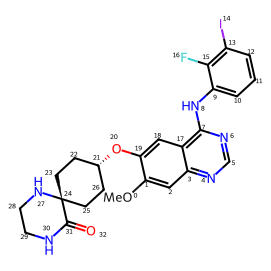 COc1cc2ncnc(Nc3cccc(I)c3F)c2cc1O[C@H]1CC[C@]2(CC1)NCCNC2=O